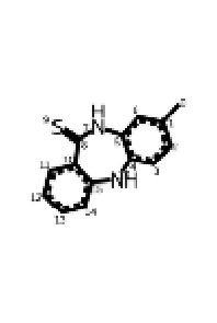 Cc1ccc2c(c1)NC(=S)c1ccccc1N2